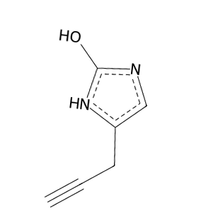 C#CCc1cnc(O)[nH]1